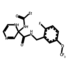 CCC(=O)NC1(C(=O)NCc2cc(OC(F)(F)F)ccc2F)C=NC=CN1